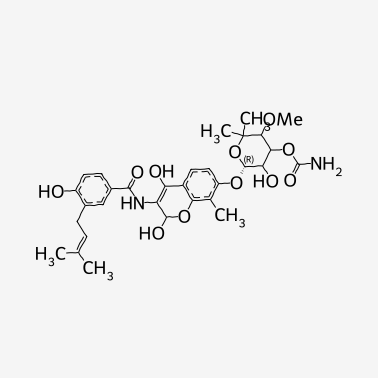 COC1C(OC(N)=O)C(O)[C@H](Oc2ccc3c(c2C)OC(O)C(NC(=O)c2ccc(O)c(CC=C(C)C)c2)=C3O)OC1(C)C